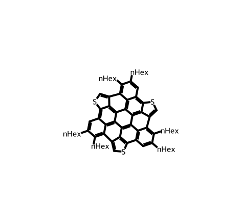 CCCCCCc1cc2c3scc4c5c(CCCCCC)c(CCCCCC)cc6c7scc8c9c(CCCCCC)c(CCCCCC)cc%10c%11scc%12c(c1CCCCCC)c2c1c(c43)c(c65)c(c87)c(c%109)c1c%12%11